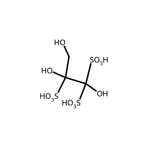 O=S(=O)(O)C(O)(CO)C(O)(S(=O)(=O)O)S(=O)(=O)O